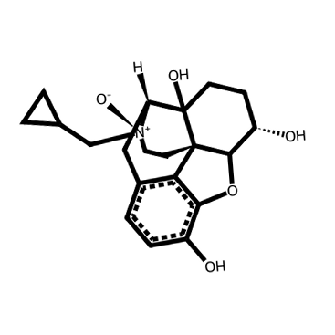 [O-][N@+]1(CC2CC2)CC[C@]23c4c5ccc(O)c4OC2[C@@H](O)CCC3(O)[C@H]1C5